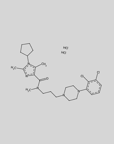 Cc1nc(C(=O)N(C)CCCN2CCN(c3cccc(Cl)c3Cl)CC2)c(C)n1C1CCCC1.Cl.Cl